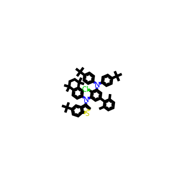 Cc1cccc(C)c1-c1cc(N(c2ccc(C(C)(C)C)cc2)c2ccc(C(C)(C)C)cc2)c(Cl)c(N(c2ccc3c(c2)C(C)(C)CCC3(C)C)c2csc3ccc(C(C)(C)C)cc23)c1